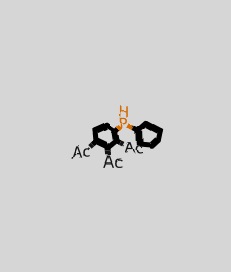 CC(=O)c1ccc(Pc2ccccc2)c(C(C)=O)c1C(C)=O